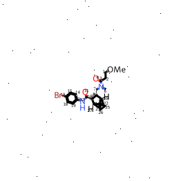 COCCC(=O)N(C)C[C@H]1[C@H](C(=O)Nc2ccc(Br)cc2)[C@@H]2C=C[C@H]1C21CC1